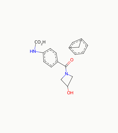 O=C(O)Nc1ccc(C(=O)N2CC(O)C2)cc1.c1cc2cc(c1)C2